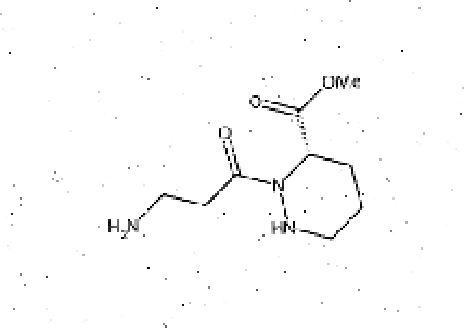 COC(=O)[C@@H]1CCCNN1C(=O)CCN